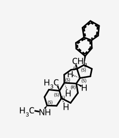 CN[C@H]1CC[C@@]2(C)[C@@H](CC[C@@H]3[C@@H]2CC[C@]2(C)[C@@H](c4ccc5ccccc5c4)CC[C@@H]32)C1